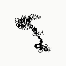 COc1cc(N2CCC(N3CCN(CC(=O)NCCCCC#Cc4cccc5c4CN(C4CCC(=O)NC4=O)C5=O)CC3)CC2)ccc1Nc1ncc(Cl)c(Nc2ccccc2P(=O)(OC)OC)n1